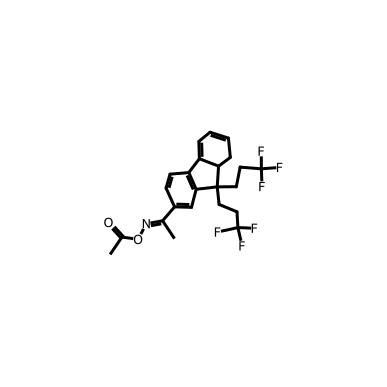 CC(=O)O/N=C(\C)c1ccc2c(c1)C(CCC(F)(F)F)(CCC(F)(F)F)C1CC=CC=C21